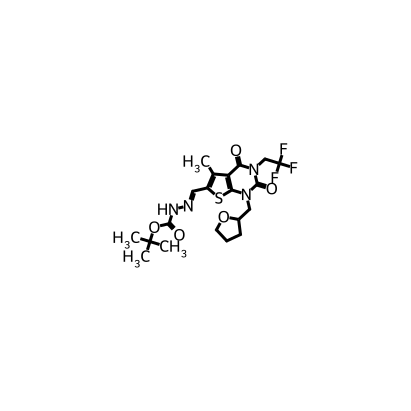 Cc1c(/C=N/NC(=O)OC(C)(C)C)sc2c1c(=O)n(CC(F)(F)F)c(=O)n2CC1CCCO1